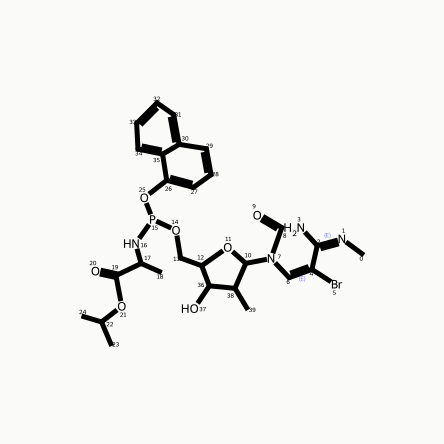 C/N=C(N)\C(Br)=C/N(C=O)C1OC(COP(NC(C)C(=O)OC(C)C)Oc2cccc3ccccc23)C(O)C1C